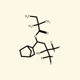 CCC(C)(C)C(=O)OC(CC(O)(C(F)(F)F)C(F)(F)F)C1CC2CCC1C2